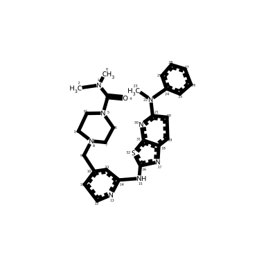 CN(C)C(=O)N1CCN(Cc2ccnc(Nc3nc4ccc(N(C)c5ccccc5)nc4s3)c2)CC1